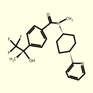 CN(C(=O)c1ccc([C@](C)(O)C(F)(F)F)cc1)[C@H]1CC[C@@H](c2ccccn2)CC1